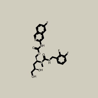 CN(C(=O)NCc1cccc(F)c1F)[C@H](COC(=O)Nc1cc2cc(F)ccc2cn1)C[C@@H](O)CO